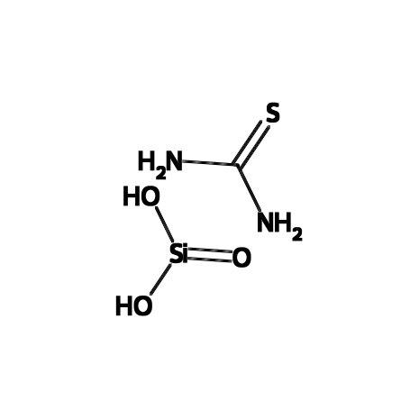 NC(N)=S.O=[Si](O)O